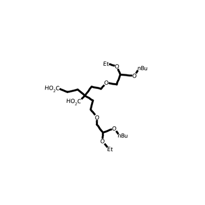 CCCCOC(COCCC(CCOCC(OCC)OCCCC)(CCC(=O)O)C(=O)O)OCC